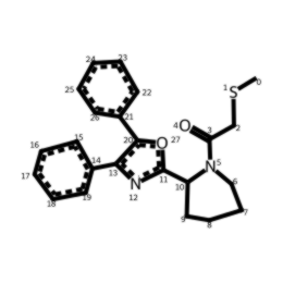 CSCC(=O)N1CCCCC1c1nc(-c2ccccc2)c(-c2ccccc2)o1